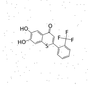 O=c1cc(-c2ccccc2C(F)(F)F)sc2cc(O)c(O)cc12